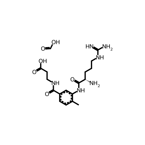 Cc1ccc(C(=O)NCCC(=O)O)cc1NC(=O)[C@@H](N)CCCNC(=N)N.O=CO